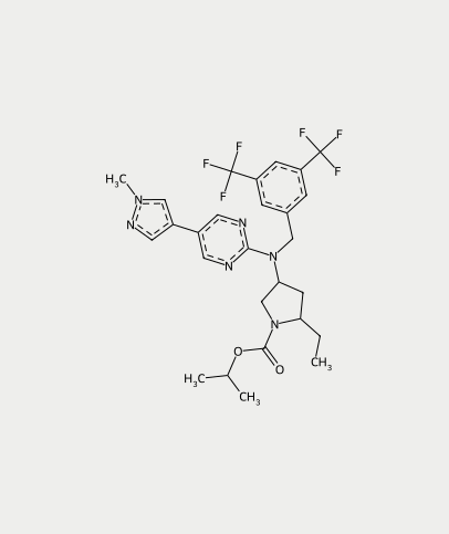 CCC1CC(N(Cc2cc(C(F)(F)F)cc(C(F)(F)F)c2)c2ncc(-c3cnn(C)c3)cn2)CN1C(=O)OC(C)C